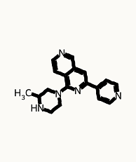 CC1CN(c2nc(-c3ccncc3)cc3cnccc23)CCN1